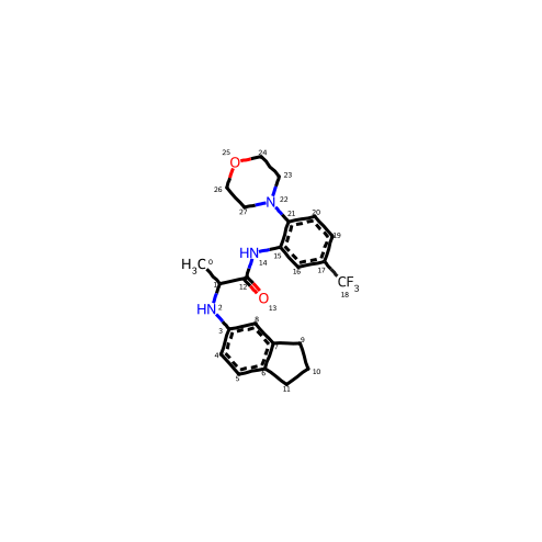 CC(Nc1ccc2c(c1)CCC2)C(=O)Nc1cc(C(F)(F)F)ccc1N1CCOCC1